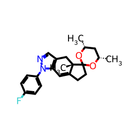 C[C@@H]1C[C@H](C)OC2(CCC3=Cc4c(cnn4-c4ccc(F)cc4)C[C@@]32C)O1